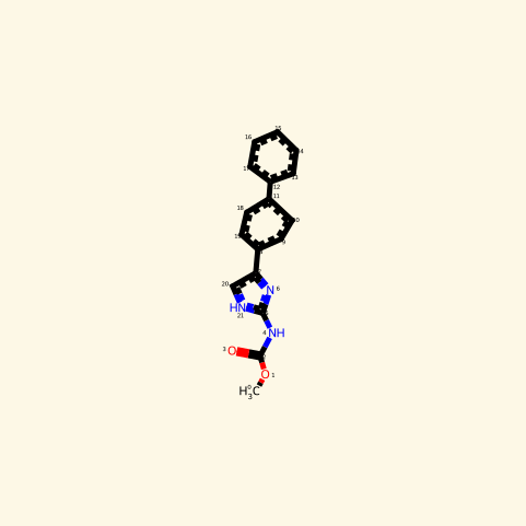 COC(=O)Nc1nc(-c2ccc(-c3ccccc3)cc2)c[nH]1